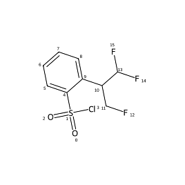 O=S(=O)(Cl)c1ccccc1C(CF)C(F)F